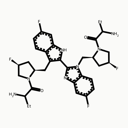 CCC(N)C(=O)N1C[C@@H](F)C[C@H]1Cc1c(-c2nc3cc(F)ccc3n2C[C@@H]2C[C@H](F)CN2C(=O)C(N)CC)[nH]c2cc(F)ccc12